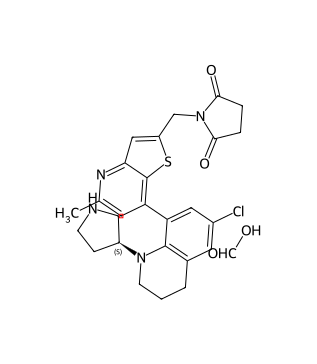 Cc1cc(-c2cc(Cl)cc3c2N([C@H]2CCNC2)CCC3)c2sc(CN3C(=O)CCC3=O)cc2n1.O=CO